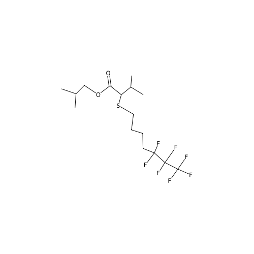 CC(C)COC(=O)C(SCCCCC(F)(F)C(F)(F)C(F)(F)F)C(C)C